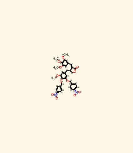 COc1cc(/C=C2/C(=O)OC[C@H]2Cc2cc(OC)c(OCc3ccc([N+](=O)[O-])cc3)c(OCc3ccc([N+](=O)[O-])cc3)c2)cc(OC)c1OC